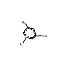 CCCCc1cc(CCCC)c[n+](CC)c1